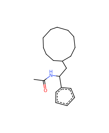 CC(=O)NC(CC1CCCCCCCCCC1)c1ccccc1